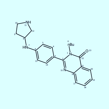 CCCCn1c(-c2ccc(NC3CCNC3)cc2)nc2ccccc2c1=O